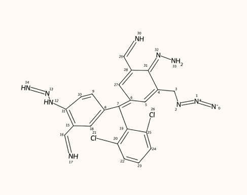 [N-]=[N+]=NCC1=C/C(=C(/c2ccc(NN=N)c(C=N)c2)c2c(Cl)cccc2Cl)C=C(C=N)C1=NN